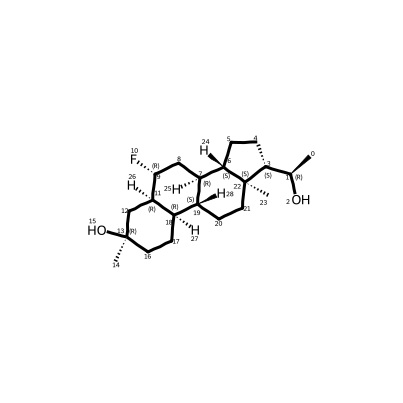 C[C@@H](O)[C@H]1CC[C@H]2[C@@H]3C[C@@H](F)[C@@H]4C[C@](C)(O)CC[C@@H]4[C@H]3CC[C@]12C